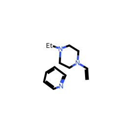 C=CN1CCN(CC)CC1.c1ccncc1